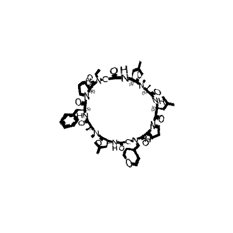 CCN1CC(=O)N[C@@H](CC(C)C)C(=O)N(C)[C@@H](C)C(=O)N[C@@H](CC(C)C)C(=O)N2CCC[C@@H]2C(=O)N(CC2CCOCC2)CC(=O)N[C@@H](CC(C)C)C(=O)N(C)[C@@H](C)C(=O)N[C@@H](Cc2ccccc2)C(=O)N2CCC[C@@H]2C1=O